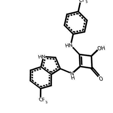 O=C1C(Nc2c[nH]c3ccc(C(F)(F)F)cc23)=C(Nc2ccc(C(F)(F)F)cc2)C1O